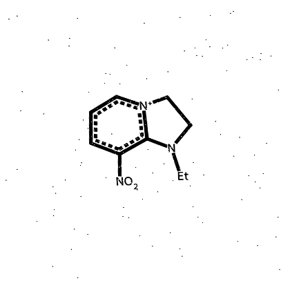 CCN1CC[n+]2cccc([N+](=O)[O-])c21